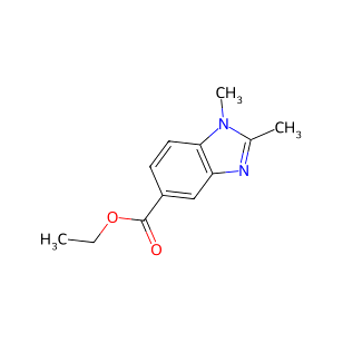 CCOC(=O)c1ccc2c(c1)nc(C)n2C